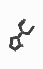 CCN(C=O)N1C=CSN1